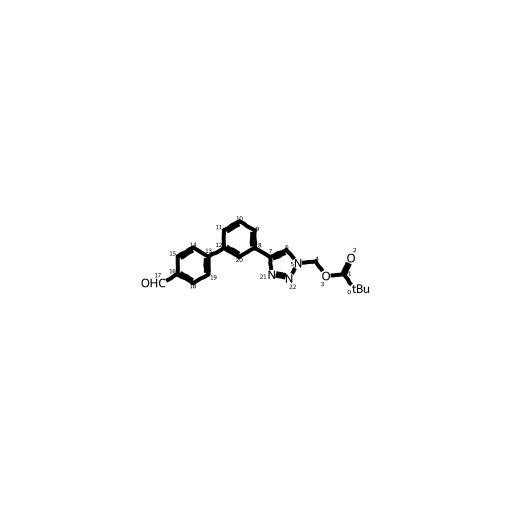 CC(C)(C)C(=O)OCn1cc(-c2cccc(-c3ccc(C=O)cc3)c2)nn1